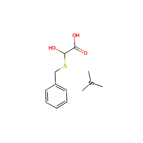 O=C(O)C(O)SCc1ccccc1.[CH3][Sn]([CH3])[CH3]